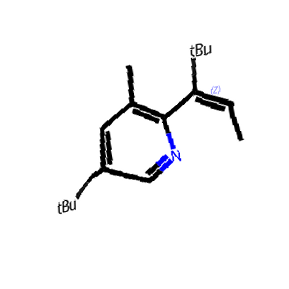 C/C=C(\c1ncc(C(C)(C)C)cc1C)C(C)(C)C